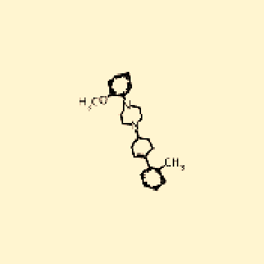 COc1ccccc1N1CCN(C2CC=C(c3ccccc3C)CC2)CC1